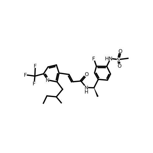 CCC(C)Cc1nc(C(F)(F)F)ccc1/C=C/C(=O)N[C@H](C)c1ccc(NS(C)(=O)=O)c(F)c1